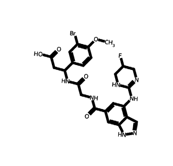 COc1ccc(C(CC(=O)O)NC(=O)CNC(=O)c2cc(NC3=NCC(F)CN3)c3cn[nH]c3c2)cc1Br